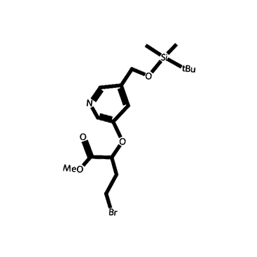 COC(=O)C(CCBr)Oc1cncc(CO[Si](C)(C)C(C)(C)C)c1